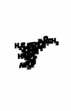 C=CC(=O)N1CCC(n2nc(N3CCC4(CC3)CN(C(C)=O)CCO4)c(-c3c(Cl)c(C)cc4[nH]ncc34)c2C)CC1